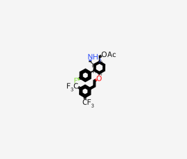 CC(=O)OC[C@H]1CC[C@H](OCCc2cc(C(F)(F)F)cc(C(F)(F)F)c2)[C@@H](c2ccc(F)cc2)[C@@H]1CN